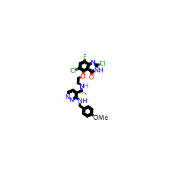 COc1ccc(CNc2nnccc2[C@@H](C)NCCOc2c(Cl)cc(F)c3nc(Cl)[nH]c(=O)c23)cc1